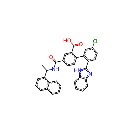 CC(NC(=O)c1ccc(-c2cc(Cl)ccc2-c2nc3ccccc3[nH]2)c(C(=O)O)c1)c1cccc2ccccc12